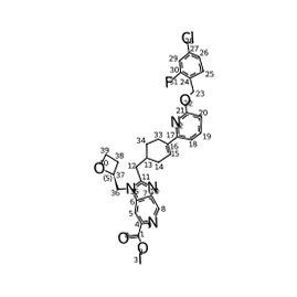 O=C(OI)c1cc2c(cn1)nc(CC1CC=C(c3cccc(OCc4ccc(Cl)cc4F)n3)CC1)n2C[C@@H]1CCO1